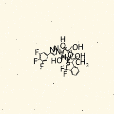 CC(C)(O)C(S[C@@H]1O[C@H](CO)[C@H](O)[C@H](n2cc(-c3cc(F)c(F)c(F)c3)nn2)[C@H]1O)c1ccccc1C(F)(F)F